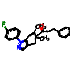 CC1=Cc2c(cnn2-c2ccc(F)cc2)CC1(C)C(=O)CCc1ccccc1